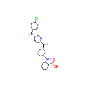 CN(c1ccc(Cl)cc1)c1ccc(C(=O)C2CCCC(Nc3ccccc3C(=O)O)C2)nc1